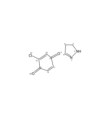 C1=NNCC1.O=C1C=CC(=O)C(Cl)=C1